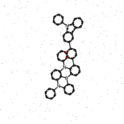 c1ccc(N2c3ccccc3B3c4cccc(-c5ccc(-c6ccc7c(c6)c6ccccc6n7-c6ccccc6)cc5)c4N(c4ccccc4)c4cccc2c43)cc1